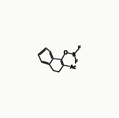 CC(=O)C1=C(OB(F)F)c2ccccc2CC1